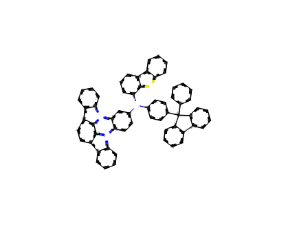 c1ccc(C2(c3ccc(N(c4ccc5c(c4)n4c6ccccc6c6ccc7c8ccccc8n5c7c64)c4cccc5c4sc4ccccc45)cc3)c3ccccc3-c3ccccc32)cc1